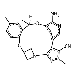 Cc1ccc2c(c1)[C@@H](C)Oc1cc(cnc1N)-c1c(nn(C)c1C#N)N1CC(C1)O2